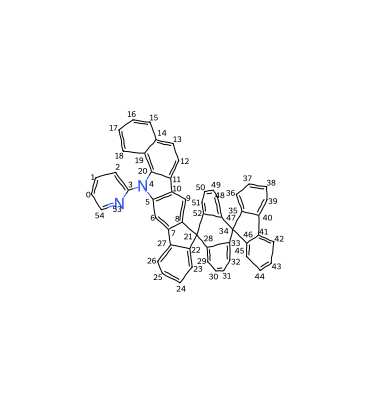 c1ccc(-n2c3cc4c(cc3c3ccc5ccccc5c32)C2(c3ccccc3-4)c3ccccc3C3(c4ccccc4-c4ccccc43)c3ccccc32)nc1